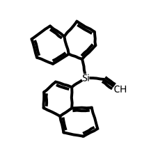 C#C[Si](c1cccc2ccccc12)c1cccc2ccccc12